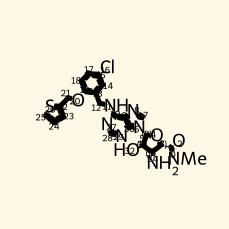 CNC(=O)[C@H]1O[C@@H](n2cnc3c(NCc4cc(Cl)ccc4OCc4cccs4)ncnc32)[C@H](O)[C@@H]1N